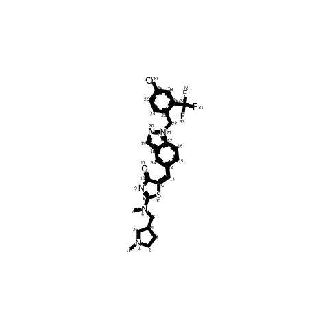 CN1CCC(CN(C)C2=NC(=O)C(=Cc3ccc4c(cnn4Cc4ccc(Cl)cc4C(F)(F)F)c3)S2)C1